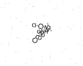 Cc1cc(C)n(-c2ccc(Cl)cc2NS(=O)(=O)c2cc3ccccc3o2)n1